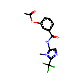 CC(=O)Oc1cccc(C(=O)Nc2cnc(C(F)(F)F)n2C)c1